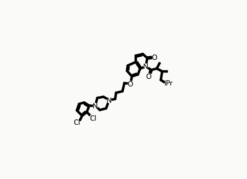 CC(C)CC(C)C(C)C(=O)n1c(=O)ccc2ccc(OCCCCN3CCN(c4cccc(Cl)c4Cl)CC3)cc21